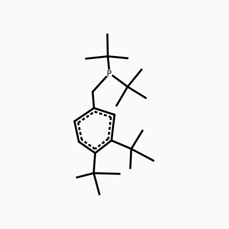 CC(C)(C)c1ccc(CP(C(C)(C)C)C(C)(C)C)cc1C(C)(C)C